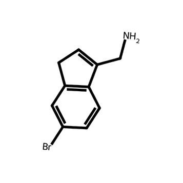 NCC1=CCc2cc(Br)ccc21